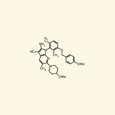 COc1ccc(COc2ccc(C)c(-n3c(N)c(C#N)c4cc(C)c(N5CCC(OC)CC5)nc43)c2C)cc1